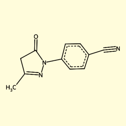 CC1=NN(c2ccc(C#N)cc2)C(=O)C1